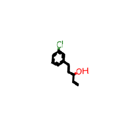 CCC(O)CCc1cccc(Cl)c1